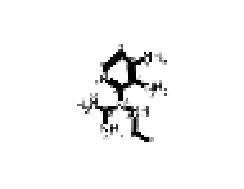 CCNN(c1nccc(N)c1N)C(N)N